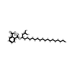 CCCCCCCCCCCCCCCCCC(CC(C)C)OC(=O)c1ccccc1C(=O)O